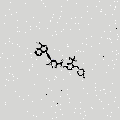 CN/C(C#Cc1cnc(N)c2ncccc12)=C\C(=N)C(=O)Nc1ccc(CN2CCN(C)CC2)c(C(F)(F)F)c1